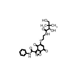 CC(C)(CO)[C@@H](O)C(=O)NCCSC1=CC(=O)c2onc(C(=O)Nc3ccccc3)c2C1=O